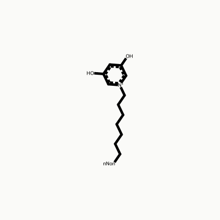 CCCCCCCCCCCCCCCC[n+]1cc(O)cc(O)c1